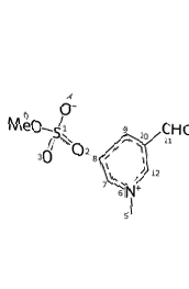 COS(=O)(=O)[O-].C[n+]1cccc(C=O)c1